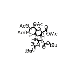 COC(=O)C1=C[C@H](N/C(=N\C(=O)OC(C)(C)C)NC(=O)OC(C)(C)C)[C@@H](C)[C@H]([C@H](OC(C)=O)[C@@H](COC(C)=O)OC(C)=O)O1